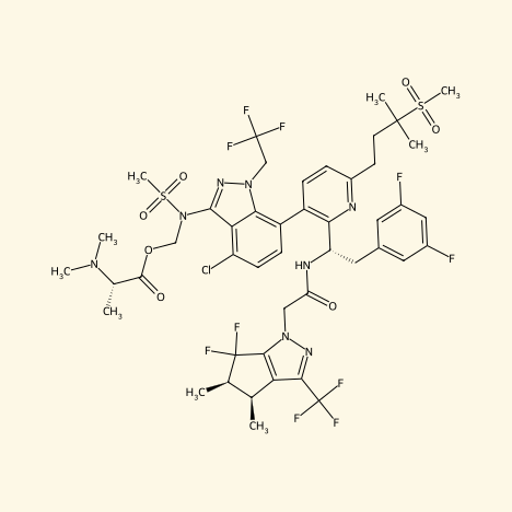 C[C@@H]1c2c(C(F)(F)F)nn(CC(=O)N[C@@H](Cc3cc(F)cc(F)c3)c3nc(CCC(C)(C)S(C)(=O)=O)ccc3-c3ccc(Cl)c4c(N(COC(=O)[C@H](C)N(C)C)S(C)(=O)=O)nn(CC(F)(F)F)c34)c2C(F)(F)[C@@H]1C